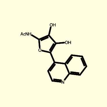 CC(=O)Nc1oc(-c2ccnc3ccccc23)c(O)c1O